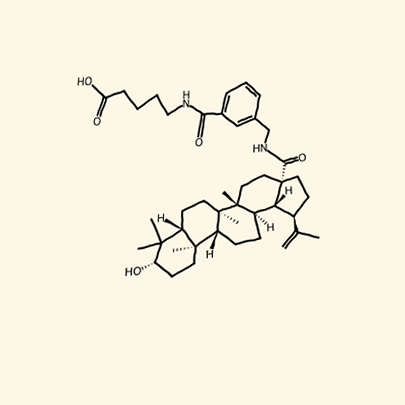 C=C(C)[C@@H]1CC[C@]2(C(=O)NCc3cccc(C(=O)NCCCCC(=O)O)c3)CC[C@]3(C)[C@H](CC[C@@H]4[C@@]5(C)CC[C@H](O)C(C)(C)[C@@H]5CC[C@]43C)[C@@H]12